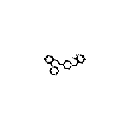 O=c1[nH]cccc1CN1CCC(CCc2cccnc2N2CCOCC2)CC1